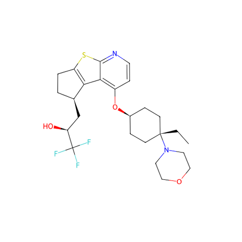 CC[C@]1(N2CCOCC2)CC[C@H](Oc2ccnc3sc4c(c23)[C@@H](C[C@H](O)C(F)(F)F)CC4)CC1